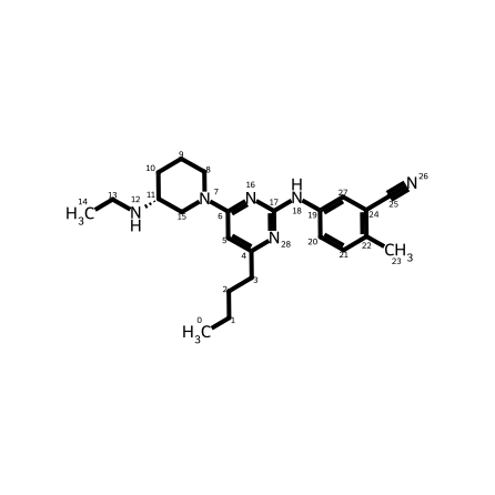 CCCCc1cc(N2CCC[C@@H](NCC)C2)nc(Nc2ccc(C)c(C#N)c2)n1